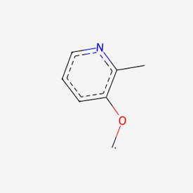 [CH2]Oc1cccnc1C